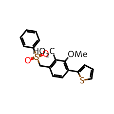 COc1c(-c2cccs2)ccc(CS(=O)(=O)c2ccccc2)c1C(=O)O